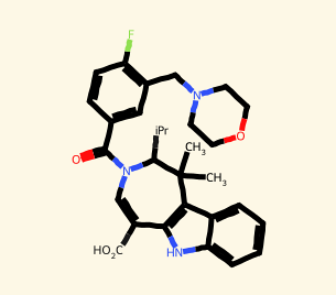 CC(C)C1N(C(=O)c2ccc(F)c(CN3CCOCC3)c2)C=C(C(=O)O)c2[nH]c3ccccc3c2C1(C)C